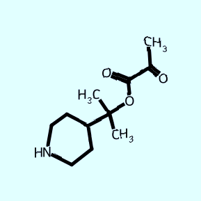 CC(=O)C(=O)OC(C)(C)C1CCNCC1